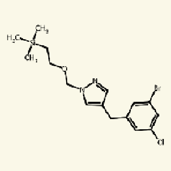 C[Si](C)(C)CCOCn1cc(Cc2cc(Cl)cc(Br)c2)cn1